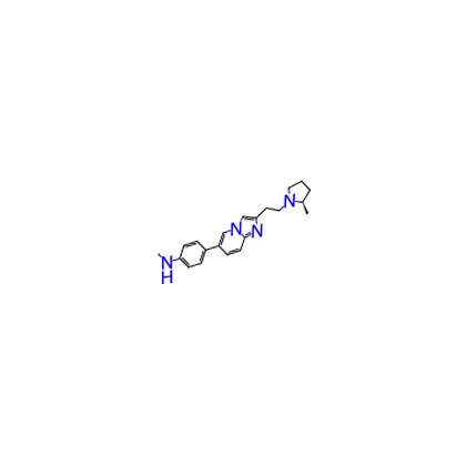 CNc1ccc(-c2ccc3nc(CCN4CCC[C@H]4C)cn3c2)cc1